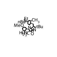 CCCCN(CC)c1ccc(/C=c2/c(C(C)(C)C)nn3c(=O)c(C)c(-c4cc(OC)ccc4N)nc23)c(C)c1